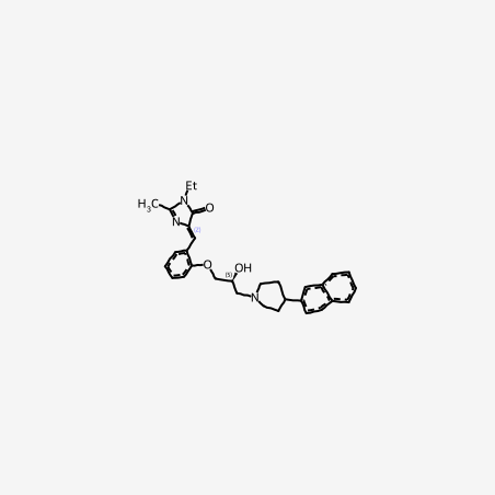 CCN1C(=O)/C(=C/c2ccccc2OC[C@@H](O)CN2CCC(c3ccc4ccccc4c3)CC2)N=C1C